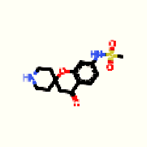 CS(=O)(=O)Nc1ccc2c(c1)OC1(CCNCC1)CC2=O